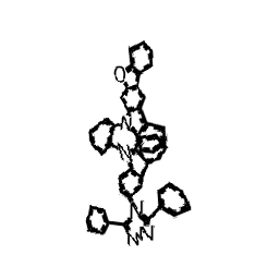 c1ccc(-c2nnc(-c3ccccc3)n2-c2ccc3c(c2)c2ccccc2n3-c2ccccc2-n2c3ccccc3c3cc4c(cc32)oc2ccccc24)cc1